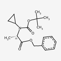 C[C@@H](C(=O)OCc1ccccc1)N(C(=O)OC(C)(C)C)C1CC1